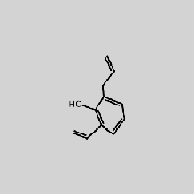 C=CCc1cccc(C=C)c1O